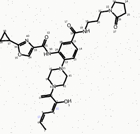 C=C(/C(O)=C\C=C/C)N1CCN(c2ccc(C(=O)NCCCN3CCCC3=O)cc2NC(=O)c2coc(C3CC3)n2)CC1